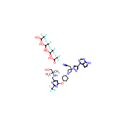 CC(C)(CO)NCc1cc(O[C@H]2CC[C@@H](N3CC(CC#N)(n4cc(-c5ncnc6[nH]ccc56)cn4)C3)CC2)nc(C(F)(F)F)n1.O=C(O)C(F)(F)F.O=C(O)C(F)(F)F.O=C(O)C(F)(F)F.O=C(O)C(F)(F)F